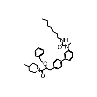 CCCCCCCNC(=O)N(C)c1cccc(-c2ccc(CC(OCc3ccccc3)C(=O)N3CCC(C)CC3)cc2)c1